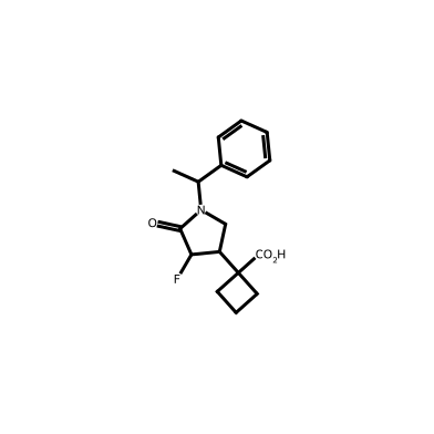 CC(c1ccccc1)N1CC(C2(C(=O)O)CCC2)C(F)C1=O